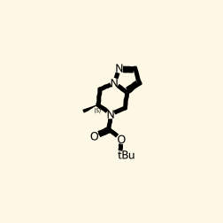 C[C@H]1Cn2nccc2CN1C(=O)OC(C)(C)C